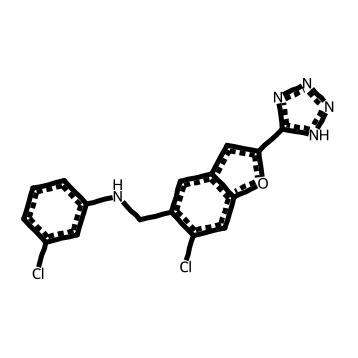 Clc1cccc(NCc2cc3cc(-c4nnn[nH]4)oc3cc2Cl)c1